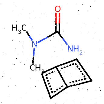 CN(C)C(N)=O.c1cc2ccc1-2